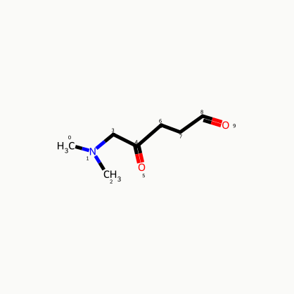 CN(C)CC(=O)[CH]CC=O